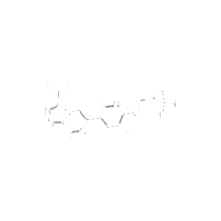 Fc1cc(-c2cn3c(C(F)F)nnc3cn2)cnc1OC[C@H]1CC1(F)F